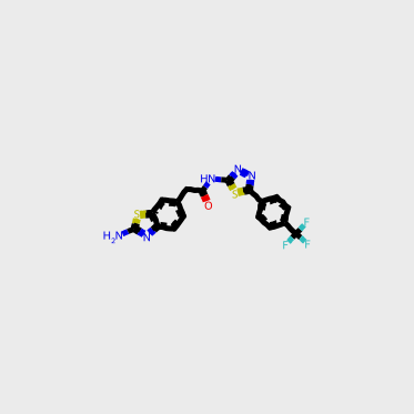 Nc1nc2ccc(CC(=O)Nc3nnc(-c4ccc(C(F)(F)F)cc4)s3)cc2s1